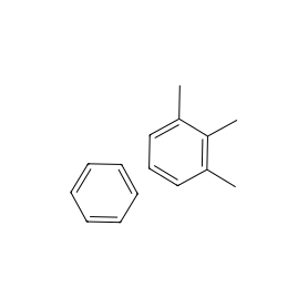 Cc1cccc(C)c1C.c1ccccc1